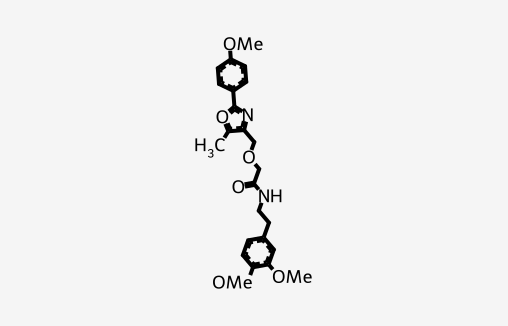 COc1ccc(-c2nc(COCC(=O)NCCc3ccc(OC)c(OC)c3)c(C)o2)cc1